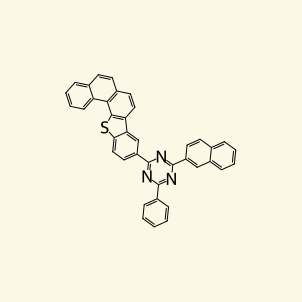 c1ccc(-c2nc(-c3ccc4ccccc4c3)nc(-c3ccc4sc5c(ccc6ccc7ccccc7c65)c4c3)n2)cc1